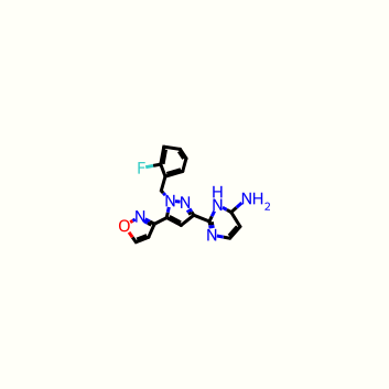 NC1C=CN=C(c2cc(-c3ccon3)n(Cc3ccccc3F)n2)N1